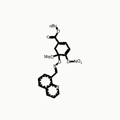 CCCCOC(=O)C1=CC=C(O[N+](=O)[O-])C(OC)(O/N=C/c2cccc3cccnc23)C1